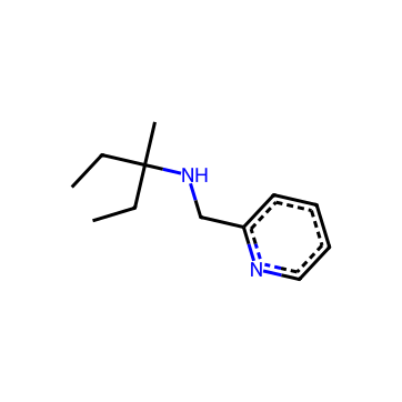 CCC(C)(CC)NCc1ccccn1